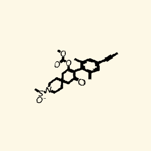 CC#Cc1cc(C)c(C2=C(OC(=O)OC)CC3(CCN([S+](C)[O-])CC3)CC2=O)c(C)c1